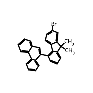 CC1(C)c2cc(Br)ccc2-c2c(-c3cc4ccccc4c4ccccc34)cccc21